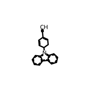 C#CC1=CCC(n2c3ccccc3c3ccccc32)C=C1